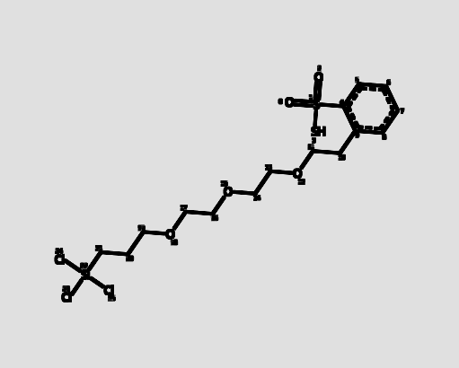 O=S(=O)(S)c1ccccc1CCOCCOCCOCCC[Si](Cl)(Cl)Cl